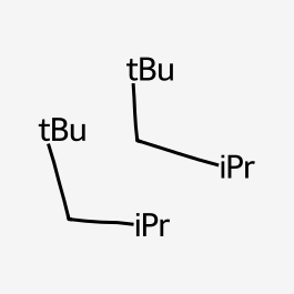 CC(C)CC(C)(C)C.CC(C)CC(C)(C)C